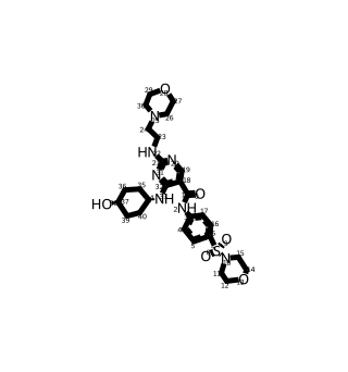 O=C(Nc1ccc(S(=O)(=O)N2CCOCC2)cc1)c1cnc(NCCN2CCOCC2)nc1N[C@H]1CC[C@H](O)CC1